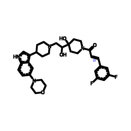 O=C(/C=C/c1cc(F)cc(F)c1)N1CCC(O)(C(O)CN2CCC(c3c[nH]c4ccc(N5CCOCC5)cc34)CC2)CC1